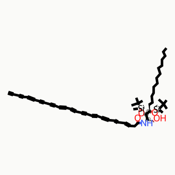 C#CC#CC#CC#CC#CC#CC#CC#CC#CC#CC#CC#CCC(=O)N[C@@H](CO)[C@H](O[Si](C)(C)C(C)(C)C)[C@@H](CCCCCCCCCCCCCC)O[Si](C)(C)C(C)(C)C